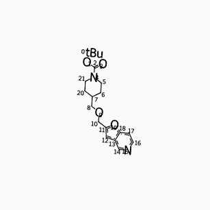 CC(C)(C)OC(=O)N1CCC(COCc2cc3cnccc3o2)CC1